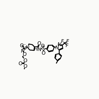 COC(=O)OCO/N=[N+](/[O-])N1CCC(C(=O)NS(=O)(=O)c2ccc(-n3nc(C(F)(F)F)cc3-c3ccc(C)cc3)cc2)CC1